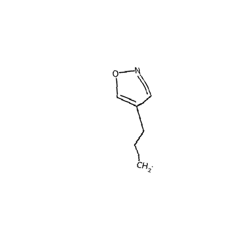 [CH2]CCc1cnoc1